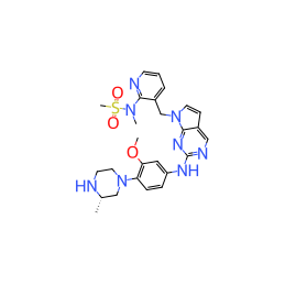 COc1cc(Nc2ncc3ccn(Cc4cccnc4N(C)S(C)(=O)=O)c3n2)ccc1N1CCN[C@@H](C)C1